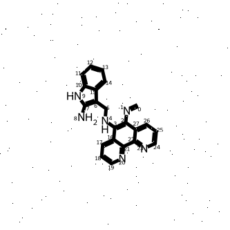 C=Nc1c(NCc2c(N)[nH]c3ccccc23)c2cccnc2c2ncccc12